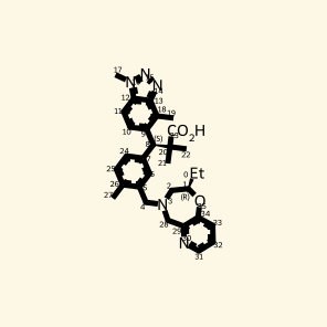 CC[C@@H]1CN(Cc2cc([C@@H](c3ccc4c(nnn4C)c3C)C(C)(C)C(=O)O)ccc2C)Cc2ncccc2O1